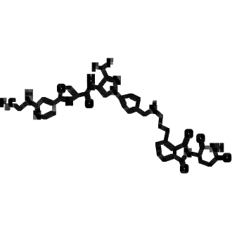 CN(CCCc1cccc2c1C(=O)N(C1CCC(=O)NC1=O)C2=O)Cc1ccc(-n2cc(NC(=O)c3coc(-c4ccnc(NCC(F)(F)F)c4)n3)c(C(F)F)n2)cc1